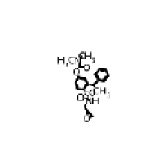 CC(c1ccccc1)c1cc(OC(=O)N(C)C)ccc1S(=O)(=O)NCC1CO1